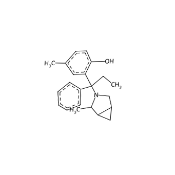 CCC(c1ccccc1)(c1cc(C)ccc1O)N1CC2CC2C1C